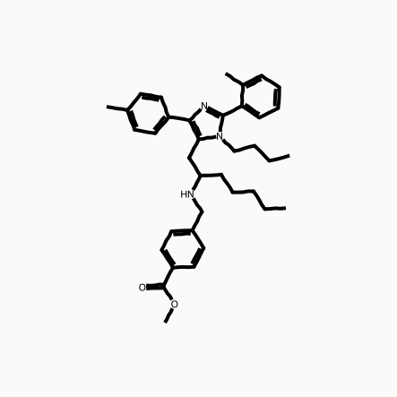 CCCCCC(Cc1c(-c2ccc(C)cc2)nc(-c2ccccc2C)n1CCCC)NCc1ccc(C(=O)OC)cc1